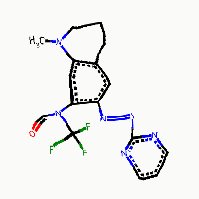 CN1CCCc2cc(N=Nc3ncccn3)c(N(C=O)C(F)(F)F)cc21